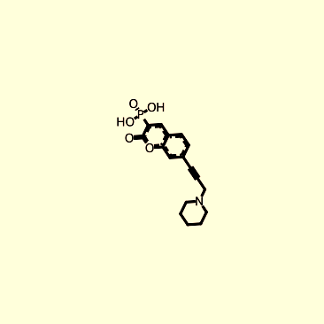 O=c1oc2cc(C#CCN3CCCCC3)ccc2cc1P(=O)(O)O